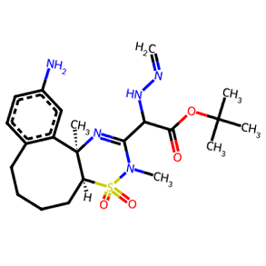 C=NNC(C(=O)OC(C)(C)C)C1=N[C@]2(C)c3cc(N)ccc3CCCC[C@@H]2S(=O)(=O)N1C